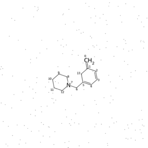 C=C1C=CC=C(CN2CCCCC2)C1